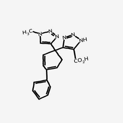 Cn1cc(C2(c3nn[nH]c3C(=O)O)C=CC(c3ccccc3)=CC2)nn1